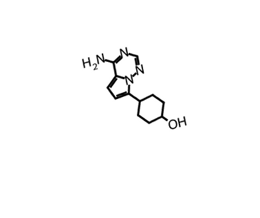 Nc1ncnn2c(C3CCC(O)CC3)ccc12